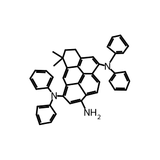 CC1(C)CCc2cc(N(c3ccccc3)c3ccccc3)c3ccc4c(N)cc(N(c5ccccc5)c5ccccc5)c5cc1c2c3c45